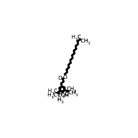 CC(C)CCCCCCCCCCCCCCCOC(=O)CCc1cc(C(C)(C)C)c(O)c(C(C)(C)C)c1